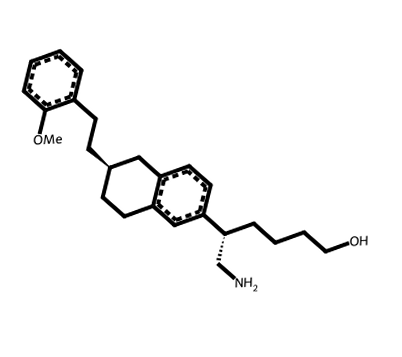 COc1ccccc1CC[C@@H]1CCc2cc([C@@H](CN)CCCCO)ccc2C1